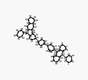 c1ccc(-c2c3ccccc3c(-c3ccc(-c4ccc(-c5ccc6c(c5)c5cc7ccccc7cc5n6-c5ccccc5)cc4)cn3)c3ccccc23)cc1